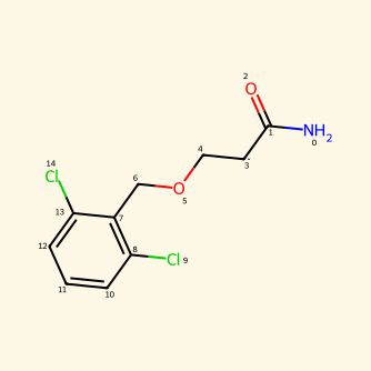 NC(=O)[CH]COCc1c(Cl)cccc1Cl